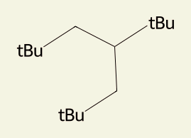 [CH2]C(C)(C)C(CC(C)(C)C)CC(C)(C)C